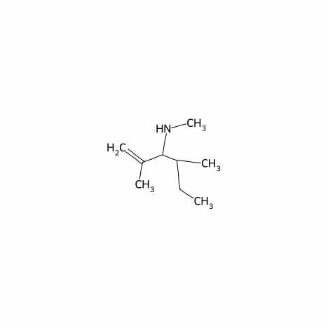 C=C(C)C(NC)C(C)CC